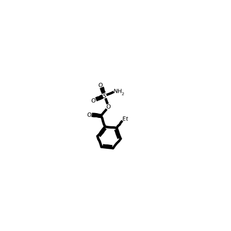 CCc1ccccc1C(=O)OS(N)(=O)=O